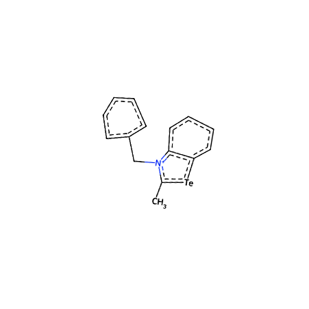 Cc1[te]c2ccccc2[n+]1Cc1ccccc1